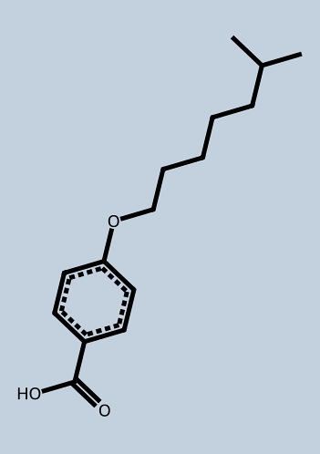 CC(C)CCCCCOc1ccc(C(=O)O)cc1